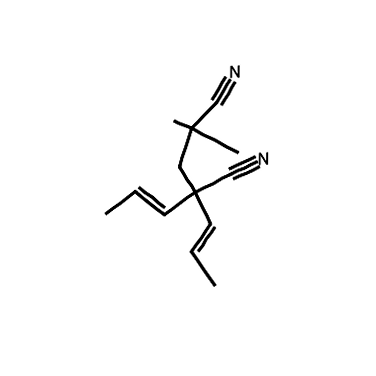 CC=CC(C#N)(C=CC)CC(C)(C)C#N